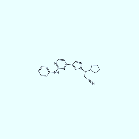 N#CCC(C1CCCC1)n1cc(-c2ccnc(Nc3ccccc3)n2)cn1